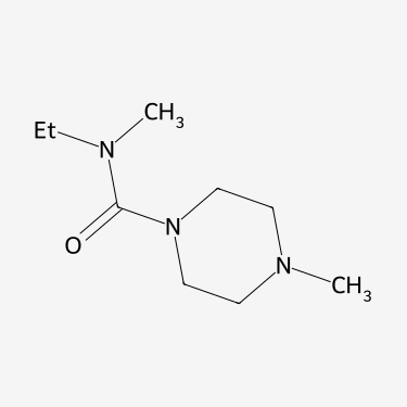 CCN(C)C(=O)N1CCN(C)CC1